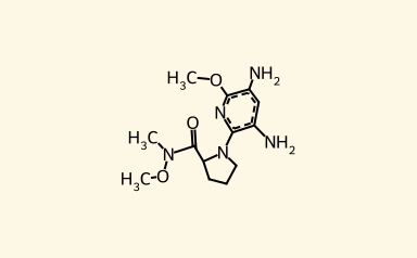 COc1nc(N2CCCC2C(=O)N(C)OC)c(N)cc1N